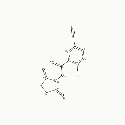 C#Cc1ccc(I)c(C(=O)ON2C(=O)CCC2=O)c1